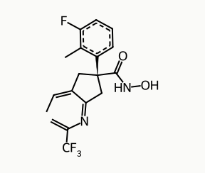 C=C(/N=C1/C[C@](C(=O)NO)(c2cccc(F)c2C)C/C1=C/C)C(F)(F)F